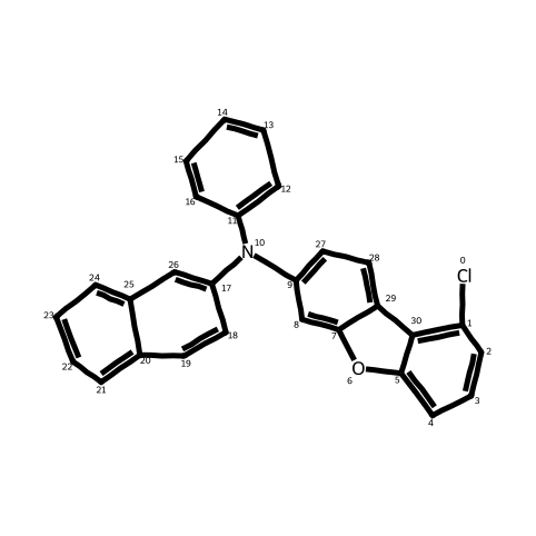 Clc1cccc2oc3cc(N(c4ccccc4)c4ccc5ccccc5c4)ccc3c12